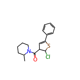 CC1CCCCN1C(=O)C1C=C(c2ccccc2)SC1Cl